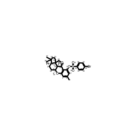 Cc1cc2c(c(OS(=O)(=O)c3ccc(Br)cc3)c1)[C@@H]1OCC34CCCC(C)(C)[C@@H]3CC[C@](C)(O2)[C@H]14